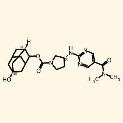 CN(C)C(=O)c1cnc(N[C@@H]2CCN(C(=O)OC3C4CC5C[C@H]3C[C@@](O)(C5)C4)C2)nc1